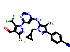 Cc1nn(-c2cc(Nc3c(C)c(-c4ccc(C#N)cc4)nn3CC3CC3)ncn2)c(C(F)F)c1C=O